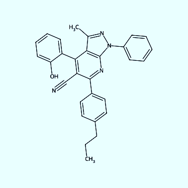 CCCc1ccc(-c2nc3c(c(C)nn3-c3ccccc3)c(-c3ccccc3O)c2C#N)cc1